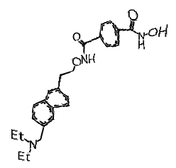 CCN(CC)Cc1ccc2cc(CCONC(=O)c3ccc(C(=O)NO)cc3)ccc2c1